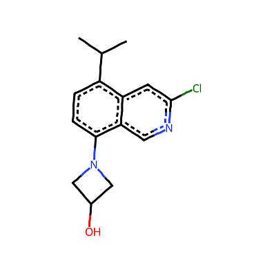 CC(C)c1ccc(N2CC(O)C2)c2cnc(Cl)cc12